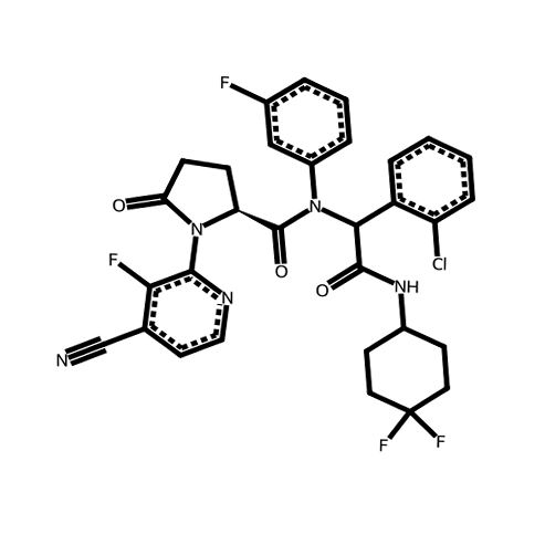 N#Cc1ccnc(N2C(=O)CC[C@H]2C(=O)N(c2cccc(F)c2)C(C(=O)NC2CCC(F)(F)CC2)c2ccccc2Cl)c1F